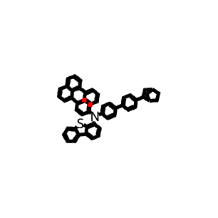 c1ccc(-c2cccc3cccc(-c4ccc(N(c5ccc(-c6ccc(C7CC8CCC7C8)cc6)cc5)c5cccc6c5sc5ccccc56)cc4)c23)cc1